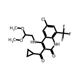 COC(CNc1c(C(=O)C2CC2)c(=O)[nH]c2c(C(F)(F)F)cc(Cl)cc12)OC